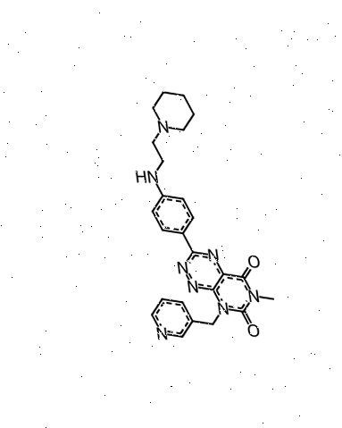 Cn1c(=O)c2nc(-c3ccc(NCCN4CCCCC4)cc3)nnc2n(Cc2cccnc2)c1=O